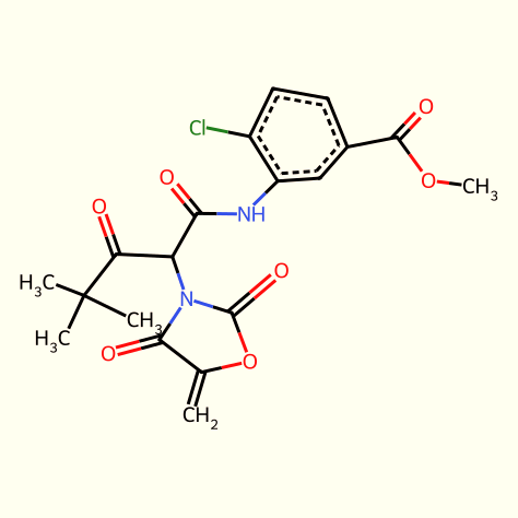 C=C1OC(=O)N(C(C(=O)Nc2cc(C(=O)OC)ccc2Cl)C(=O)C(C)(C)C)C1=O